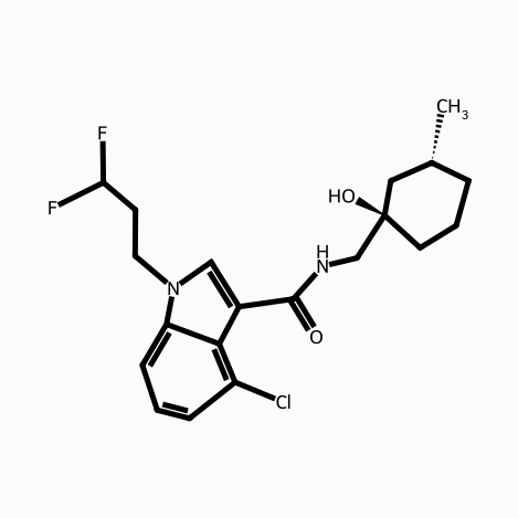 C[C@@H]1CCC[C@](O)(CNC(=O)c2cn(CCC(F)F)c3cccc(Cl)c23)C1